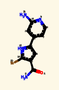 NC(=O)c1cc(-c2ccnc(N)c2)[nH]c1Br